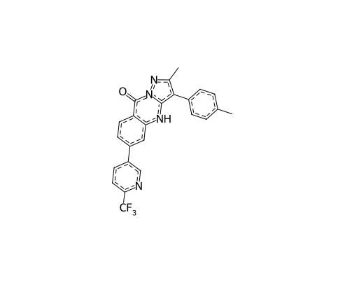 Cc1ccc(-c2c(C)nn3c(=O)c4ccc(-c5ccc(C(F)(F)F)nc5)cc4[nH]c23)cc1